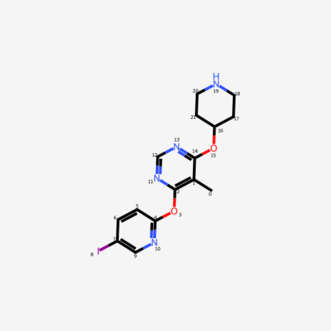 Cc1c(Oc2ccc(I)cn2)ncnc1OC1CCNCC1